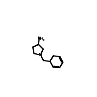 NC1CCN(CC2C=CC=CC2)C1